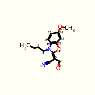 CCCCN1/C(=C(\C#N)C=O)Oc2cc(OC)ccc21